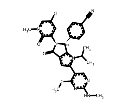 CNc1ncc(-c2cc3c(n2C(C)C)[C@@H](c2ccc(C#N)cc2)N(c2cc(Cl)cn(C)c2=O)C3=O)c(OC)n1